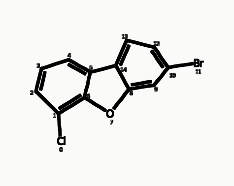 Clc1cccc2c1oc1cc(Br)ccc12